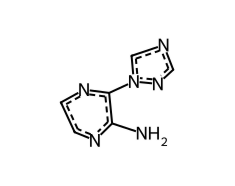 Nc1nccnc1-n1cncn1